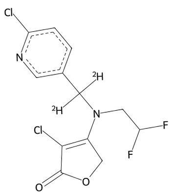 [2H]C([2H])(c1ccc(Cl)nc1)N(CC(F)F)C1=C(Cl)C(=O)OC1